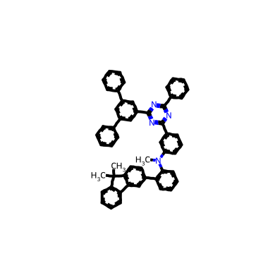 CN(c1cccc(-c2nc(-c3ccccc3)nc(-c3cc(-c4ccccc4)cc(-c4ccccc4)c3)n2)c1)c1ccccc1-c1ccc2c(c1)-c1ccccc1C2(C)C